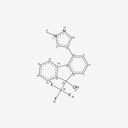 Cn1cc(-c2cccc3c2-c2ccccc2C3(O)C(F)(F)F)cn1